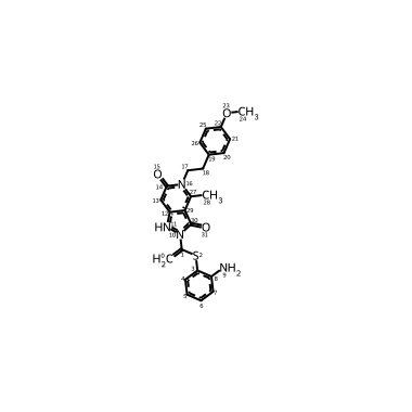 C=C(Sc1ccccc1N)n1[nH]c2cc(=O)n(CCc3ccc(OC)cc3)c(C)c2c1=O